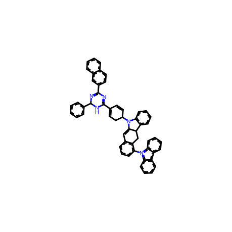 C1=CC(N2C3=Cc4cccc(-n5c6ccccc6c6ccccc65)c4CC3c3ccccc32)CC=C1C1=NC(c2ccc3ccccc3c2)=NC(c2ccccc2)N1